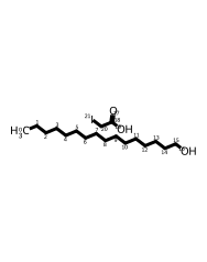 CCCCCCCCCCCCCCCCO.O=C(O)CI